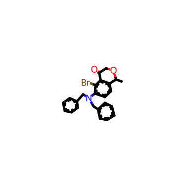 CC1OCC(=O)c2c1ccc(N(Cc1ccccc1)Cc1ccccc1)c2Br